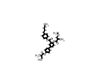 C=C(CO)C(=O)Oc1ccc(-c2ccc(OC(=O)C(=C)COC)c(C(=O)Oc3ccc(CCCCC)cc3)c2)cc1